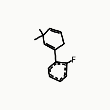 CC1(C)C=CCC(c2ccccc2F)=C1